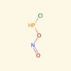 O=NOPCl